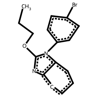 CCCOc1nc2ccccc2n1-c1ccc(Br)cc1